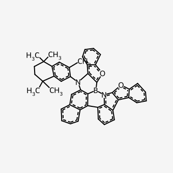 Cc1cc2c(cc1N1c3cc4ccccc4c4c3B(c3oc5ccccc5c31)n1c3oc5ccccc5c3c3cccc-4c31)C(C)(C)CCC2(C)C